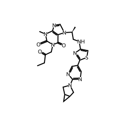 CCC(=O)Cn1c(=O)c2c(ncn2[C@@H](C)CNc2csc(-c3cnc(N4CC5CC5C4)nc3)n2)n(C)c1=O